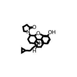 O=C1CCCN1C1CC[C@@]2(O)[C@H]3Cc4ccc(O)c5c4[C@@]2(CCN3CC2CC2)C1O5